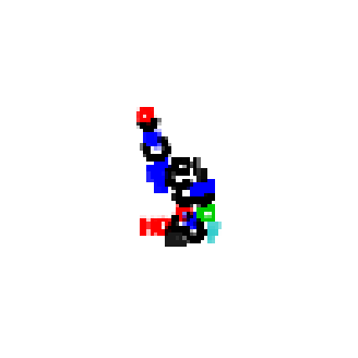 CCC(O)(COc1cc(-c2nnn(C3CCN(C4COC4)CC3)c2C)cn2ncc(Cl)c12)c1ccc(F)cn1